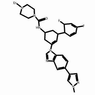 CCN1CCN(C(=O)NC2CC(n3cnc4cc(-c5cnn(C)c5)ccc43)=CC(C3C=CC(F)=CC3F)C2)CC1